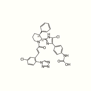 O=C(O)Nc1ccc(-c2nc([C@@H]3[C@H](c4ccccc4)CCCN3C(=O)C=Cc3cc(Cl)ccc3-n3cnnn3)[nH]c2Cl)cc1